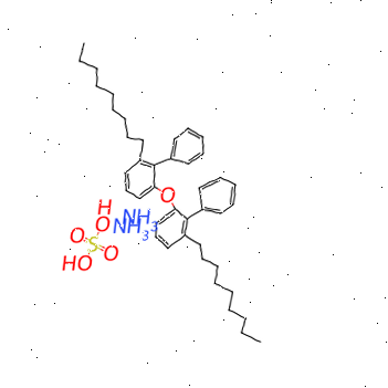 CCCCCCCCCc1cccc(Oc2cccc(CCCCCCCCC)c2-c2ccccc2)c1-c1ccccc1.N.N.O=S(=O)(O)O